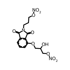 O=C1c2cccc(OCC(O)CO[N+](=O)[O-])c2C(=O)N1CCCO[N+](=O)[O-]